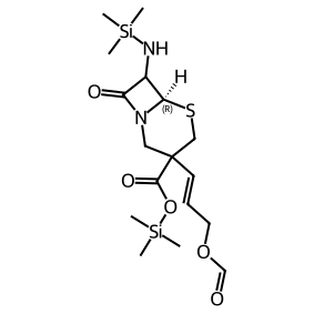 C[Si](C)(C)NC1C(=O)N2CC(C=CCOC=O)(C(=O)O[Si](C)(C)C)CS[C@H]12